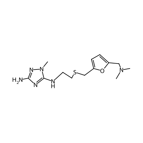 CN(C)Cc1ccc(CSCCNc2nc(N)nn2C)o1